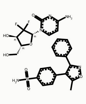 Cc1onc(-c2ccccc2)c1-c1ccc(S(N)(=O)=O)cc1.Nc1ccn([C@@H]2O[C@H](CO)[C@@H](O)C2(F)F)c(=O)n1